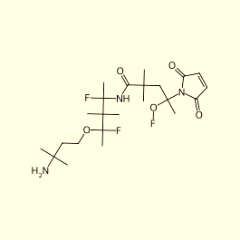 CC(C)(N)CCOC(C)(F)C(C)(C)C(C)(F)NC(=O)C(C)(C)CC(C)(OF)N1C(=O)C=CC1=O